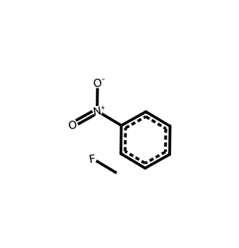 CF.O=[N+]([O-])c1ccccc1